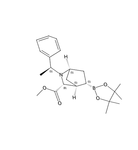 COC(=O)[C@H]1[C@H]2C[C@H](C[C@@H]2B2OC(C)(C)C(C)(C)O2)N1[C@@H](C)c1ccccc1